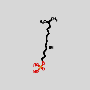 CC(C)CCCCCCCCCCOP(=O)(O)O.[KH]